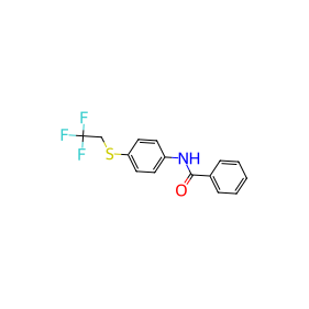 O=C(Nc1ccc(SCC(F)(F)F)cc1)c1ccccc1